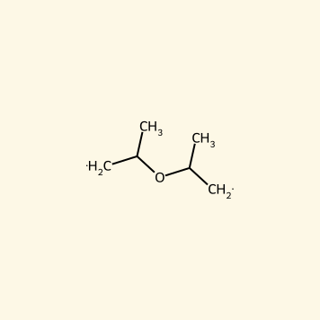 [CH2]C(C)OC([CH2])C